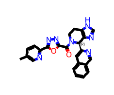 Cc1ccc(-c2nnc(C(=O)N3CCc4[nH]cnc4[C@H]3c3cc4ccccc4cn3)o2)nc1